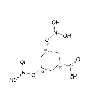 O=C(O)[C@@H]1C[C@H](ON(O)O)C[C@H](ON(O)O)C1